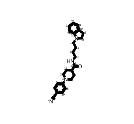 N#Cc1ccc(N2CCC(C(=O)NCCCCN3CCc4ccccc43)CC2)cc1